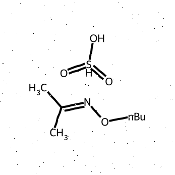 CCCCON=C(C)C.O=[SH](=O)O